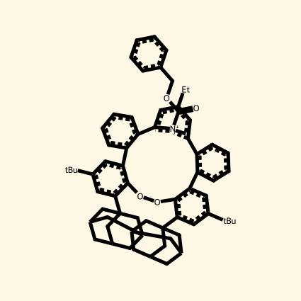 CCc1cc2[n+](C(=O)OCc3ccccc3)c(c1)-c1ccccc1-c1cc(C(C)(C)C)cc(C34CC5CC(CC(C5)C3)C4)c1OOc1c(cc(C(C)(C)C)cc1C13CC4CC(CC(C4)C1)C3)-c1ccccc1-2